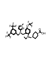 CCN(C[C@H]1CC[C@H](C(=O)O)CC1)c1ccc(OC(F)(F)F)cc1CN(Cc1cc(C(F)(F)F)cc(C(F)(F)F)c1)c1ccn(C)n1